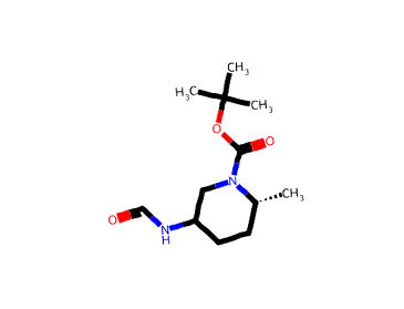 C[C@@H]1CCC(NC=O)CN1C(=O)OC(C)(C)C